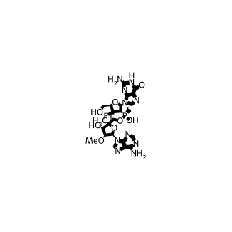 CO[C@H]1[C@@H](n2cnc3c(N)ncnc32)O[C@](C)(COP(O)(=S)[C@H]2[C@H](n3cnc4c(=O)[nH]c(N)nc43)O[C@H](CO)C2(F)F)[C@H]1O